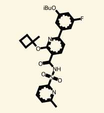 Cc1cccc(S(=O)(=O)NC(=O)c2ccc(-c3cc(F)cc(OCC(C)C)c3)nc2OC2(C)CCC2)n1